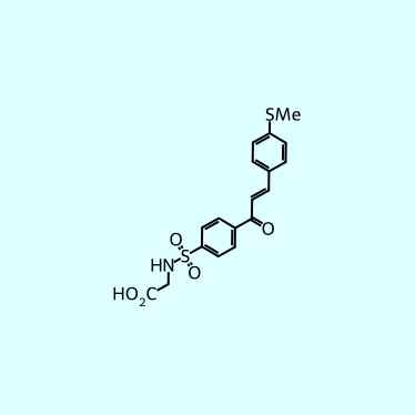 CSc1ccc(/C=C/C(=O)c2ccc(S(=O)(=O)NCC(=O)O)cc2)cc1